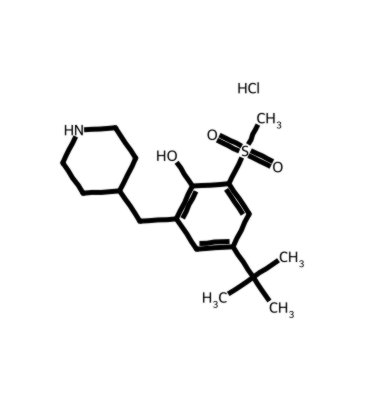 CC(C)(C)c1cc(CC2CCNCC2)c(O)c(S(C)(=O)=O)c1.Cl